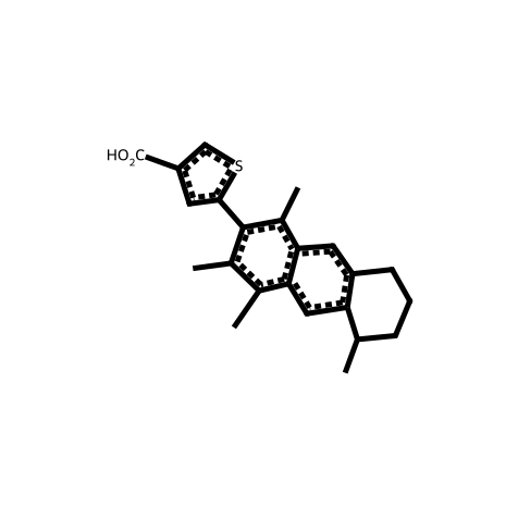 Cc1c(-c2cc(C(=O)O)cs2)c(C)c2cc3c(cc2c1C)C(C)CCC3